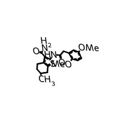 COc1ccc(OC)c(CC(=O)Nc2sc3c(c2C(N)=O)CCC(C)C3)c1